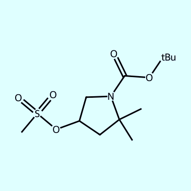 CC(C)(C)OC(=O)N1CC(OS(C)(=O)=O)CC1(C)C